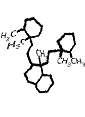 CC1CCCCC1(C)CCC1CCC2CCCCC2C1(C)CCC1(C)CCCCC1C